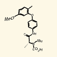 COc1ccc(C)c(Oc2ccc(NC(=O)[C@@H](C)N(C(=O)O)C(C)(C)C)cc2)c1